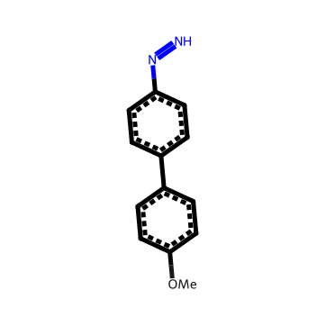 COc1ccc(-c2ccc(N=N)cc2)cc1